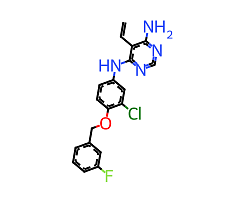 C=Cc1c(N)ncnc1Nc1ccc(OCc2cccc(F)c2)c(Cl)c1